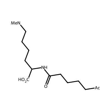 CNCCCCC(NC(=O)CCCCC(C)=O)C(=O)O